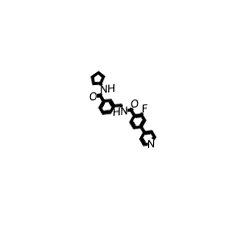 O=C(NC1CCCC1)c1cccc(CNC(=O)c2ccc(-c3ccncc3)cc2F)c1